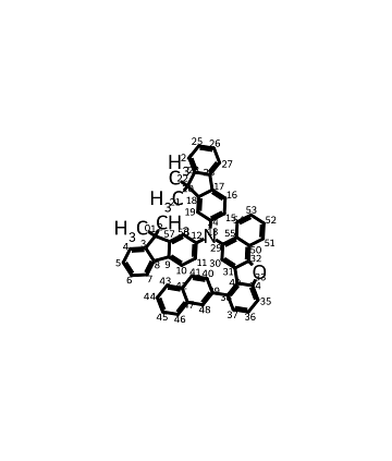 CC1(C)c2ccccc2-c2ccc(N(c3ccc4c(c3)C(C)(C)c3ccccc3-4)c3cc4c(oc5cccc(-c6ccc7ccccc7c6)c54)c4ccccc34)cc21